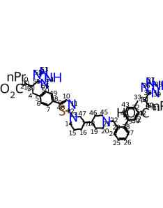 CCC[C@H](C(=O)O)[C@H](Cc1ccc(-c2cnc(N3CCCC(C4CCN(Cc5ccccc5-c5ccc(C[C@H](c6nn[nH]n6)[C@H](CCC)C(=O)O)cc5)CC4)C3)s2)cc1)c1nn[nH]n1